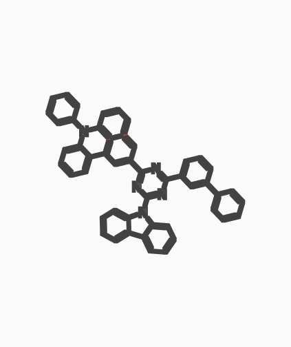 c1ccc(-c2cccc(-c3nc(-c4cccc(-c5ccccc5N(c5ccccc5)c5ccccc5)c4)nc(-n4c5ccccc5c5ccccc54)n3)c2)cc1